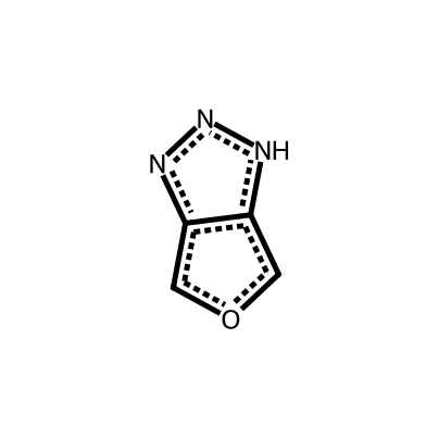 c1occ2[nH]nnc12